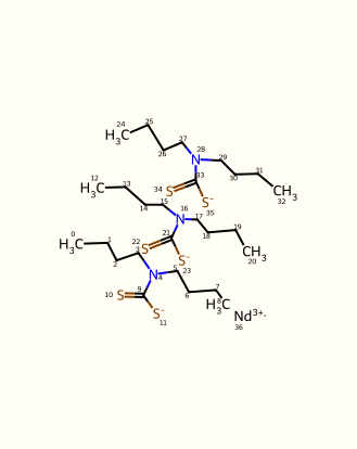 CCCCN(CCCC)C(=S)[S-].CCCCN(CCCC)C(=S)[S-].CCCCN(CCCC)C(=S)[S-].[Nd+3]